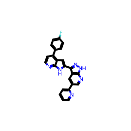 Fc1ccc(-c2ccnc3[nH]c(-c4n[nH]c5ncc(-c6ccccn6)cc45)cc23)cc1